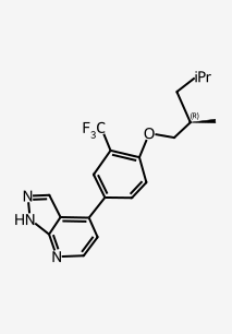 CC(C)C[C@@H](C)COc1ccc(-c2ccnc3[nH]ncc23)cc1C(F)(F)F